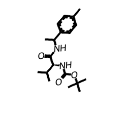 Cc1ccc(C(C)NC(=O)[C@@H](NC(=O)OC(C)(C)C)C(C)C)cc1